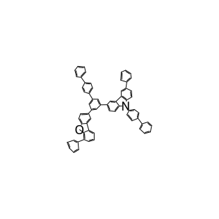 c1ccc(-c2ccc(-c3cc(-c4ccc5oc6c(-c7ccccc7)cccc6c5c4)cc(-c4ccc5c(c4)c4cc(-c6ccccc6)ccc4n5-c4ccc(-c5ccccc5)cc4)c3)cc2)cc1